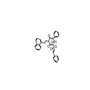 CCN(C(=O)C(CCc1cccc2ccccc12)C(=O)NS(=O)(=O)/C=C/c1ccccc1)c1ccccc1